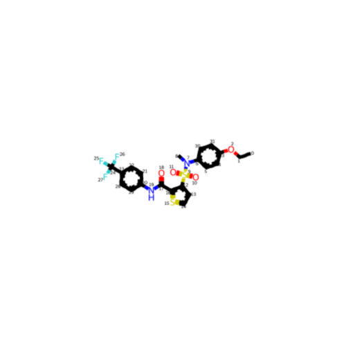 CCOc1ccc(N(C)S(=O)(=O)c2ccsc2C(=O)Nc2ccc(C(F)(F)F)cc2)cc1